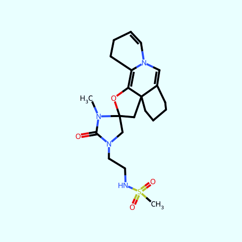 CN1C(=O)N(CCNS(C)(=O)=O)CC12CC13CCCCC1=CN1C=CCCC1=C3O2